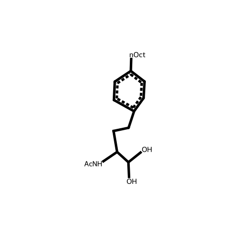 CCCCCCCCc1ccc(CCC(NC(C)=O)C(O)O)cc1